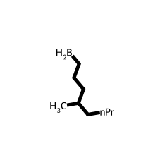 BCCCC(C)CCCC